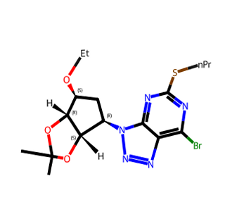 CCCSc1nc(Br)c2nnn([C@@H]3C[C@H](OCC)[C@H]4OC(C)(C)O[C@H]43)c2n1